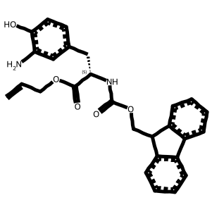 C=CCOC(=O)[C@H](Cc1ccc(O)c(N)c1)NC(=O)OCC1c2ccccc2-c2ccccc21